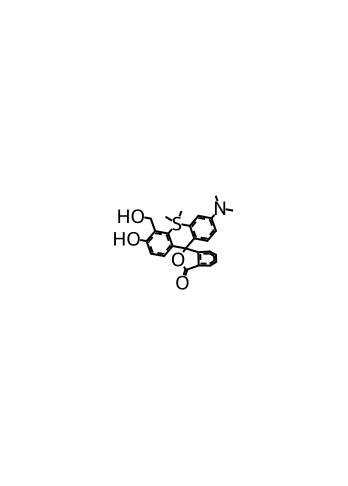 CN(C)c1ccc2c(c1)S(C)(C)c1c(ccc(O)c1CO)C21OC(=O)c2ccccc21